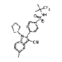 Cc1ccc2c(c1)c(C#N)c(-c1ccc(S(=O)(=O)NC(C)(C)C(F)(F)F)cn1)n2C1CCCC1